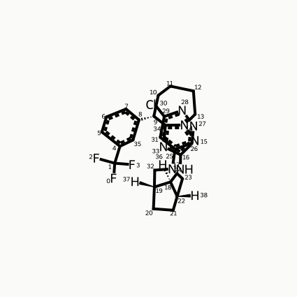 FC(F)(F)c1cccc([C@@H]2CCCCn3nc(N[C@@H]4[C@@H]5CC[C@H]4CN(c4cnnc(Cl)c4)C5)nc32)c1